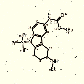 CCNC1CCc2c(c3cc(NC(=O)OC(C)(C)C)ccc3n2[Si](C(C)C)(C(C)C)C(C)C)C1